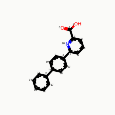 O=C(O)c1cccc(-c2ccc(-c3ccccc3)cc2)n1